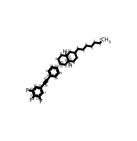 CCCCCCCC1CC[C@@H]2C[C@H](c3ccc(C#Cc4cc(F)c(F)c(F)c4)cc3)CC[C@@H]2C1